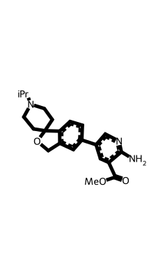 COC(=O)c1cc(-c2ccc3c(c2)COC32CCN(C(C)C)CC2)cnc1N